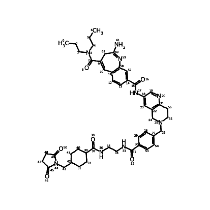 CCCN(CCC)C(=O)C1=Cc2ccc(C(=O)Nc3cnc4c(c3)CN(Cc3ccc(C(=O)NCCNC(=O)C5CCC(CN6C(=O)CCC6=O)CC5)cc3)CC4)cc2N=C(N)C1